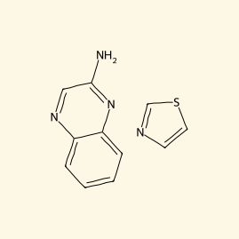 Nc1cnc2ccccc2n1.c1cscn1